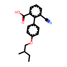 CCC(C)COc1ccc(-c2c(C#N)cccc2C(=O)O)cc1